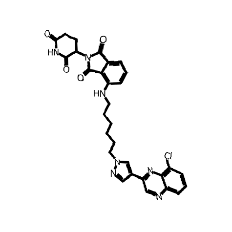 O=C1CCC(N2C(=O)c3cccc(NCCCCCCn4cc(-c5cnc6cccc(Cl)c6n5)cn4)c3C2=O)C(=O)N1